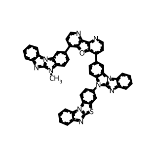 Cn1c2ccc(-c3ccnc4c3oc3c(-c5ccc6c(c5)n5c7ccccc7nc5n6-c5ccc6c(c5)sc5nc7ccccc7n56)ccnc34)cc2n2c3ccccc3nc12